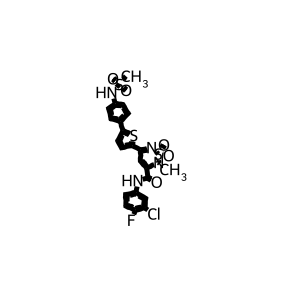 CN1C(C(=O)Nc2ccc(F)c(Cl)c2)=CC(c2ccc(-c3ccc(NS(C)(=O)=O)cc3)s2)=NS1(=O)=O